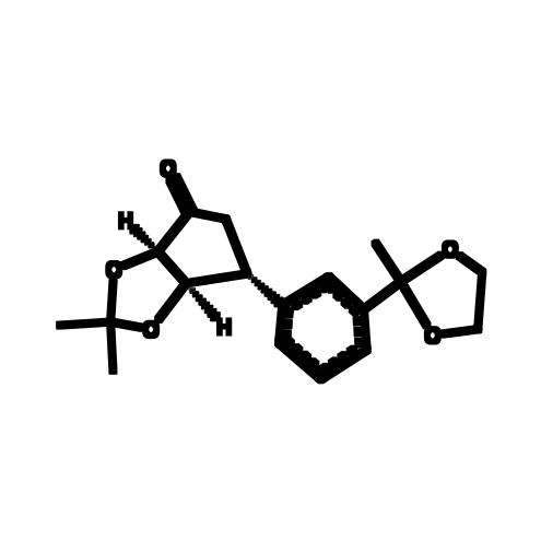 CC1(C)O[C@@H]2[C@@H](c3cccc(C4(C)OCCO4)c3)CC(=O)[C@@H]2O1